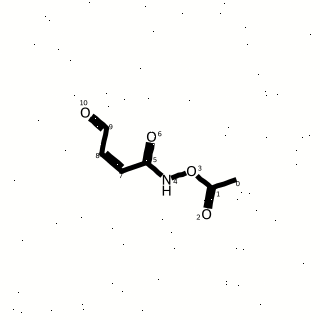 CC(=O)ONC(=O)/C=C\C=O